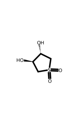 O=S1(=O)C[C@@H](O)[C@H](O)C1